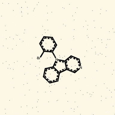 Brc1ccccc1-n1c2ccccc2c2cnccc21